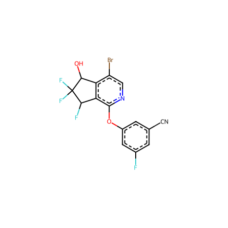 N#Cc1cc(F)cc(Oc2ncc(Br)c3c2C(F)C(F)(F)C3O)c1